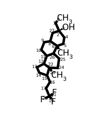 CC[C@]1(O)CCC2(C)C(CCC3C4CCC(CCC(F)(F)F)C4(C)CCC32)C1